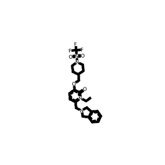 CCn1c(CN2Cc3ccccc3C2)ccc(OCC2CCN(S(=O)(=O)C(F)(F)F)CC2)c1=O